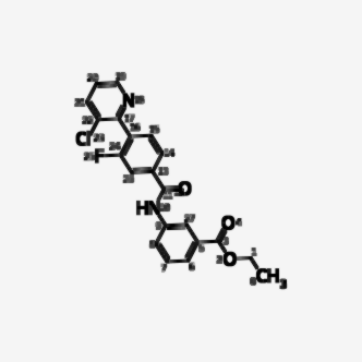 CCOC(=O)c1cccc(NC(=O)c2ccc(-c3ncccc3Cl)c(F)c2)c1